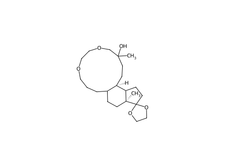 CC1(O)CC[C@@H]2C(CCCOCCOC1)CC[C@@]1(C)C2CCC12OCCO2